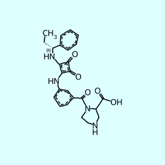 CC[C@@H](Nc1c(Nc2cccc(C(=O)N3CCNCC3C(=O)O)c2)c(=O)c1=O)c1ccccc1